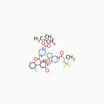 C[C@H](CC(F)(F)F)C(=O)N1CC[C@@](O)(Cn2cc(C(=O)N3CCN(C(=O)OC(C)(C)C)CC3)c(-c3ccccc3F)cc2=O)C2(CCCC2)C1